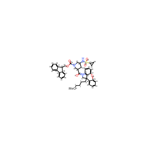 COCCCCC1(CNC(=O)C2CC(NS(=O)(=O)C3CC3)CN(C(=O)OCC3c4ccccc4-c4ccccc43)C2)c2ccccc2Oc2ccccc21